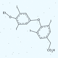 CCOc1c(I)cc(Oc2c(I)cc(CC(=O)O)cc2I)cc1I